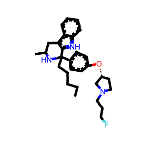 CCCCCC1(c2ccc(O[C@@H]3CCN(CCCF)C3)cc2)NC(C)Cc2c1[nH]c1ccccc21